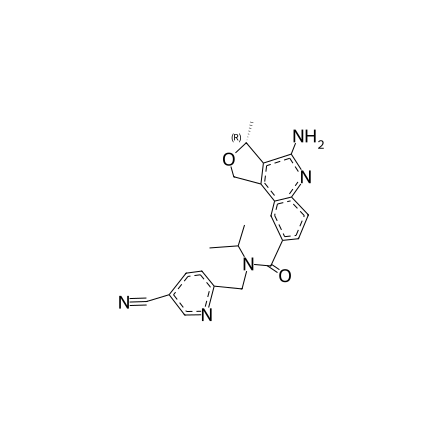 CC(C)N(Cc1ccc(C#N)cn1)C(=O)c1ccc2nc(N)c3c(c2c1)CO[C@@H]3C